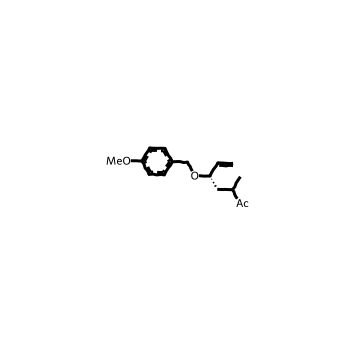 C=C[C@H](CC(C)C(C)=O)OCc1ccc(OC)cc1